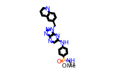 CCNP(=O)(OC)c1ccc(Nc2cnc3nnn(Cc4ccc5ncccc5c4)c3n2)cc1